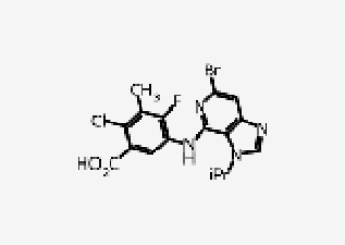 Cc1c(F)c(Nc2nc(Br)cc3ncn(C(C)C)c23)cc(C(=O)O)c1Cl